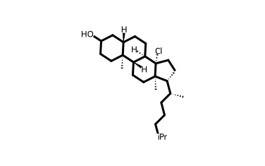 CC(C)CCC[C@@H](C)[C@H]1CC[C@]2(Cl)[C@@H]3CC[C@H]4CC(O)CC[C@]4(C)[C@H]3CC[C@]12C